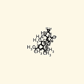 CC(C)c1cc(C(C)C)c(S(=O)(=O)Oc2cc3n(c(=O)n2)CC2(CC2)NC3C)c(C(C)C)c1